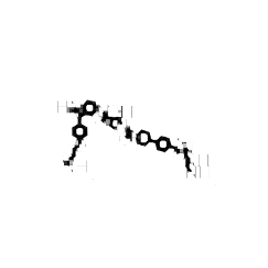 NCNc1nnc(-c2ccc(C3CCN(C(=O)CN4CC[C@@](O)(C(=O)Nc5ccc6[nH]nc(-c7ccc(OCCON)cc7)c6c5)C4)CC3)cc2)o1